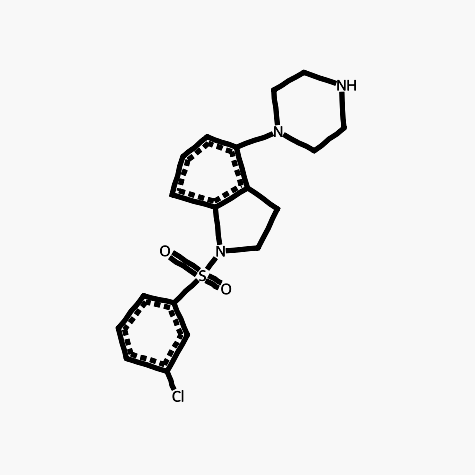 O=S(=O)(c1cccc(Cl)c1)N1CCc2c(N3CCNCC3)cccc21